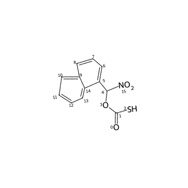 O=C(S)OC(c1cccc2ccccc12)[N+](=O)[O-]